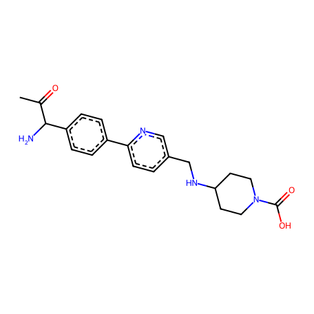 CC(=O)C(N)c1ccc(-c2ccc(CNC3CCN(C(=O)O)CC3)cn2)cc1